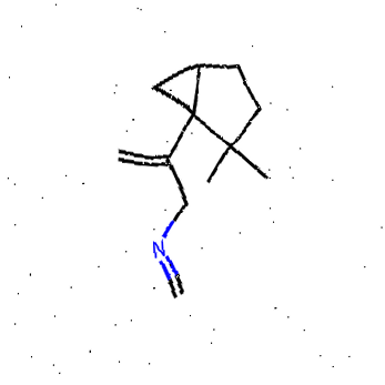 C=NCC(=C)C12CC1CCC2(C)C